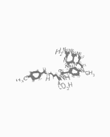 Cc1ccc(C(=O)NCCC[C@H](NC(=O)c2ccc(N(C)Cc3cnc4nc(N)nc(N)c4n3)cc2)C(=O)O)cc1